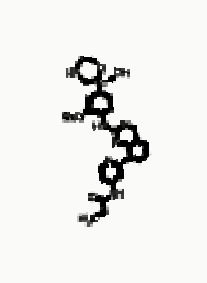 C=CC(=O)Nc1ccnc(-c2cccc3cnc(Nc4ccc([C@@]5(CO)CNCCO5)cc4OC)nc23)c1